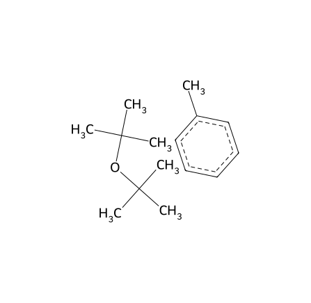 CC(C)(C)OC(C)(C)C.Cc1ccccc1